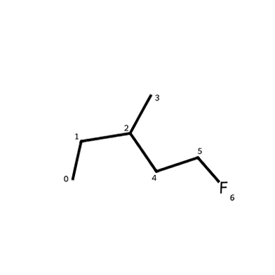 CCC(C)CCF